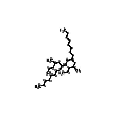 CCCCCCCCC(CC(C)CCC)SSC(CCCCCCCC)CC(C)CCC